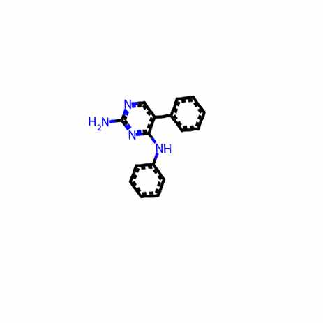 Nc1ncc(-c2ccccc2)c(Nc2ccccc2)n1